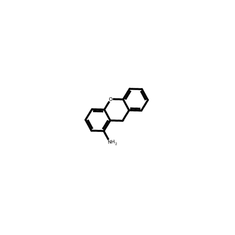 Nc1cccc2c1[CH]c1ccccc1O2